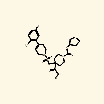 Cc1ccc(Cl)cc1C1=CCN(S(=O)(=O)CC2(C(=O)NO)CCN(C(=O)OC3CCOC3)CC2)CC1